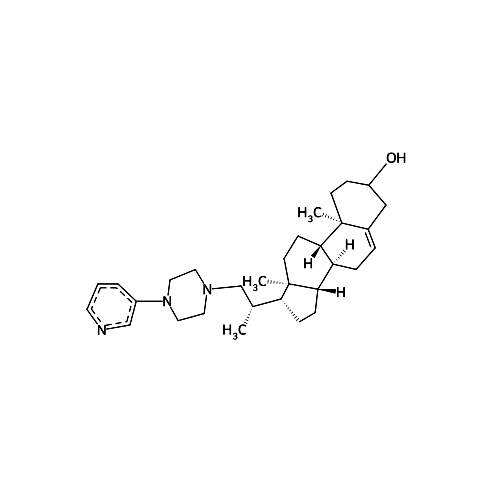 C[C@H](CN1CCN(c2cccnc2)CC1)[C@H]1CC[C@H]2[C@@H]3CC=C4CC(O)CC[C@]4(C)[C@H]3CC[C@]12C